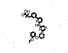 CCOc1ccccc1O[C@@H]1CCCN(c2cncc(Nc3cccc(-c4cccc(CC(C)(C)C(=O)O)c4)n3)n2)C1